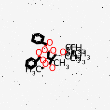 CCOC(=O)[C@@]1(C)[C@@H](CO[Si](C)(C)C(C)(C)C)OC(OC(=O)c2ccccc2)[C@@H]1OC(=O)c1ccccc1